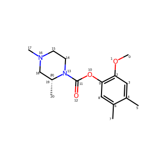 COc1cc(C)c(C)cc1OC(=O)N1CCN(C)C[C@H]1C